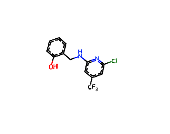 Oc1ccccc1CNc1cc(C(F)(F)F)cc(Cl)n1